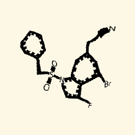 N#CCc1cc(Br)c2c(F)cn(S(=O)(=O)Cc3ccccc3)c2c1